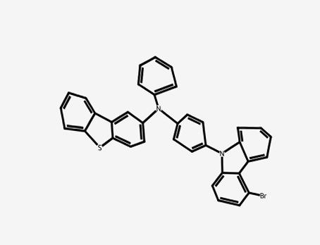 Brc1cccc2c1c1ccccc1n2-c1ccc(N(c2ccccc2)c2ccc3sc4ccccc4c3c2)cc1